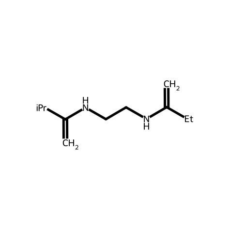 C=C(CC)NCCNC(=C)C(C)C